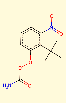 CC(C)(C)c1c(OOC(N)=O)cccc1[N+](=O)[O-]